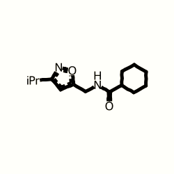 CC(C)c1cc(CNC(=O)C2CCCCC2)on1